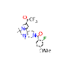 COc1ccc(C(=O)N2CCC3(CC2)c2cc(C(=O)C(F)(F)F)cn2C(C)(C)CN3C)c(F)c1